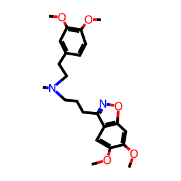 COc1ccc(CCN(C)CCCc2noc3cc(OC)c(OC)cc23)cc1OC